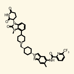 Cc1cc2nn([C@H]3CC[C@H](CN4CCC(c5cccc6c5n(C)c(=O)n6[C@@H]5CCC(=O)NC5=O)CC4)CC3)cc2cc1NC(=O)c1cccc(C(F)(F)F)n1